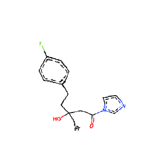 CC(C)C(O)(CCc1ccc(F)cc1)CC(=O)n1ccnc1